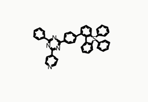 c1ccc(-c2nc(-c3ccncc3)nc(-c3ccc(-c4cccc5c4-c4ccccc4S5(c4ccccc4)c4ccccc4)cc3)n2)cc1